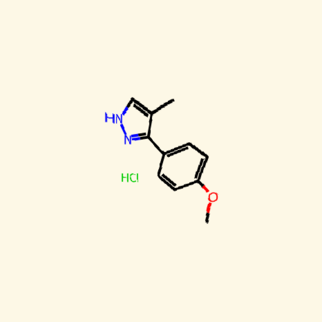 COc1ccc(-c2n[nH]cc2C)cc1.Cl